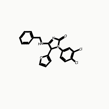 O=C1N=C(NCc2ccccc2)C(c2ccco2)N1c1ccc(Cl)c(Cl)c1